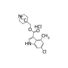 Cc1cc(Cl)cc2[nH]cc(C(=O)OCC34CCN(CC3)CC4)c12.Cl